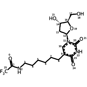 O=C(NCCCCCCc1cn([C@H]2C[C@H](O)[C@@H](CO)O2)c(=O)[nH]c1=O)C(F)(F)F